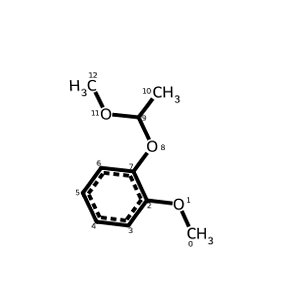 COc1cc[c]cc1OC(C)OC